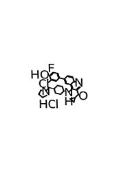 Cl.O=C(c1cnc2ccc(-c3cc(F)c(O)c(Cl)c3)cc2c1N[C@H]1CC[C@H](CN2CCCC2)CC1)C1CC1